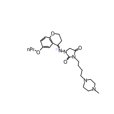 CCCOc1ccc2c(c1)/C(=N/N1CC(=O)N(CCCCN3CCN(C)CC3)C1=O)CCO2